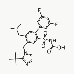 CC(C)Cc1cc(-c2cc(F)cc(F)c2)c(S(=O)(=O)NC(=O)O)cc1Cn1ccnc1C(C)(C)C